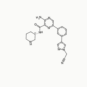 N#CCn1cc(-c2cccc(-c3cnc(N)c(C(=O)N[C@H]4CCCNC4)n3)c2)cn1